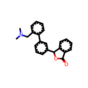 CN(C)Cc1ccccc1-c1cccc(C2OC(=O)c3ccccc32)c1